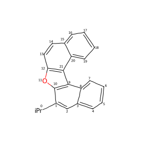 CC(C)c1cc2ccccc2c2c1oc1ccc3ccccc3c12